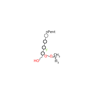 CCCCCC1CCC(c2ccc(-c3ccc(-c4ccc(CCCO)c(OCCOC=C(C)C)c4)c(F)c3)cc2)CC1